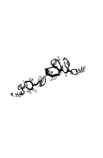 COC(=O)CC1COc2cc(OCC3CCN(C(=O)OC(C)(C)C)CC3)ccc21